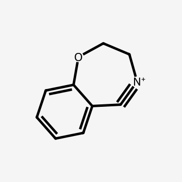 C1#[N+]CCOc2ccccc21